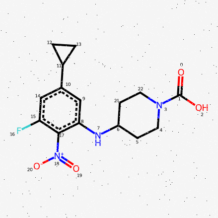 O=C(O)N1CCC(Nc2cc(C3CC3)cc(F)c2[N+](=O)[O-])CC1